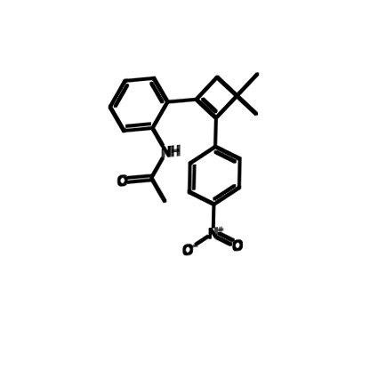 CC(=O)Nc1ccccc1C1=C(c2ccc([N+](=O)[O-])cc2)C(C)(C)C1